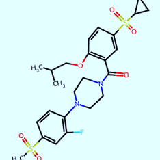 CC(C)COc1ccc(S(=O)(=O)C2CC2)cc1C(=O)N1CCN(c2ccc(S(C)(=O)=O)cc2F)CC1